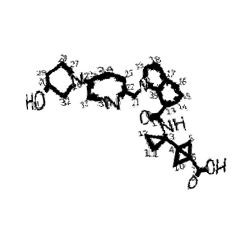 O=C(NC1(C23CC2(C(=O)O)C3)CC1)c1cccc2ccn(Cc3ccc(N4CCCC(O)C4)cn3)c12